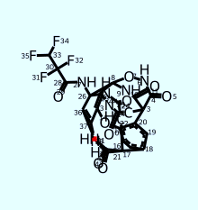 O=C1CC23C(=O)NOC4(NC2=O)C(=C2Oc5ccc(cc53)C35CC(=O)NC4(NC(=O)C(F)(F)C(F)F)C(=C2NC3=O)NC5=O)N1